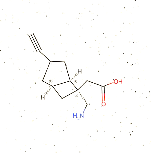 C#CC1C[C@@H]2C[C@](CN)(CC(=O)O)[C@@H]2C1